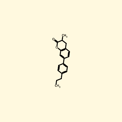 CCCc1ccc(-c2ccc3c(c2)OC(=O)C(C)C3)cc1